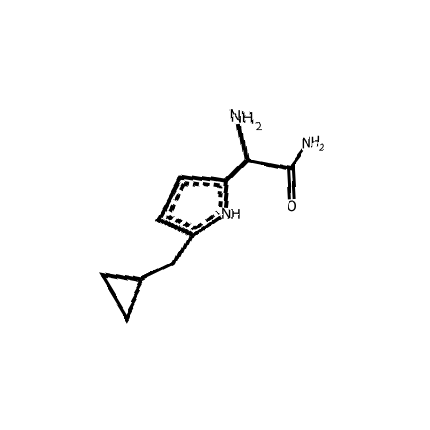 NC(=O)C(N)c1ccc(CC2CC2)[nH]1